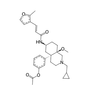 CO[C@]12CC[C@H](NC(=O)/C=C/c3ccoc3C)C[C@]1(c1cccc(OC(C)=O)c1)CCN(CC1CC1)C2